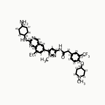 CCc1cc(-c2cc(NC(=O)Cc3ccc(OC4CCN(C)CC4)c(C(F)(F)F)c3)nn2C)cc2cnc(NC3CCC(N)CC3)nc12